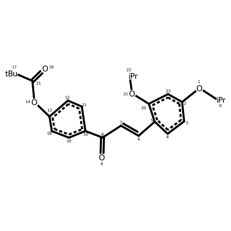 CC(C)Oc1ccc(C=CC(=O)c2ccc(OC(=O)C(C)(C)C)cc2)c(OC(C)C)c1